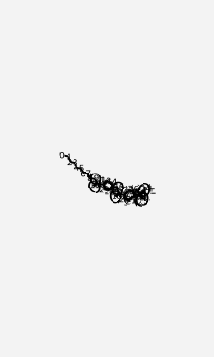 CCCCCCCCCOC(=O)c1ccc(OC(=O)c2ccc([N+](=O)[O-])cc2)cc1